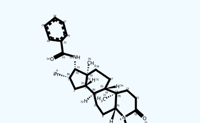 CC(C)[C@H]1C[C@H]2[C@@H]3CC[C@H]4N(C)C(=O)CC[C@]4(C)[C@H]3CC[C@]2(C)[C@H]1NC(=O)c1ccccc1